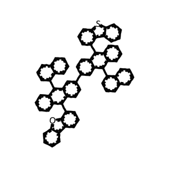 c1ccc2c(-c3c4ccccc4c(-c4cccc5c4oc4ccccc45)c4ccc(-c5ccc6c(-c7cccc8sc9ccccc9c78)c7ccccc7c(-c7cccc8ccccc78)c6c5)cc34)cccc2c1